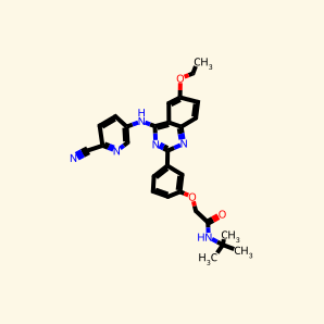 CCOc1ccc2nc(-c3cccc(OCC(=O)NC(C)(C)C)c3)nc(Nc3ccc(C#N)nc3)c2c1